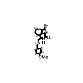 COc1ccc(CNCc2[nH]c(=O)c3sc(Br)c4c3c2CCCO4)cc1